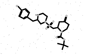 CC(C)(C)OC(=O)N1CCC(=O)CC1CS(=O)(=O)N1CCNC(Cc2ccc(Cl)cc2)C1